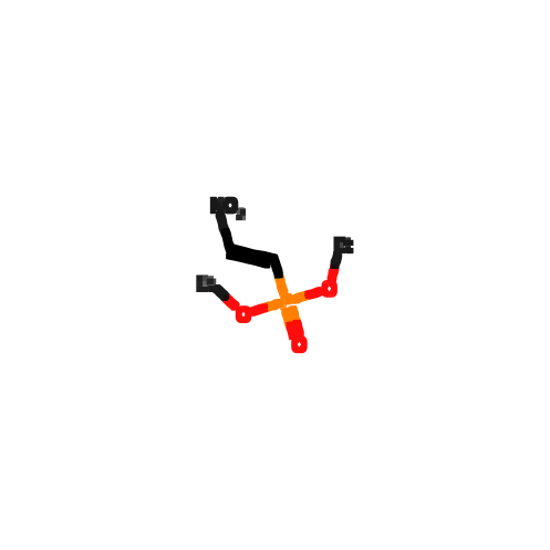 CCOP(=O)(C=C[N+](=O)[O-])OCC